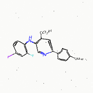 COc1ccc(-c2cc(C(=O)O)c(Nc3ccc(I)cc3F)cn2)cc1